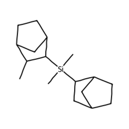 CC1C2CCC(C2)C1[Si](C)(C)C1CC2CCC1C2